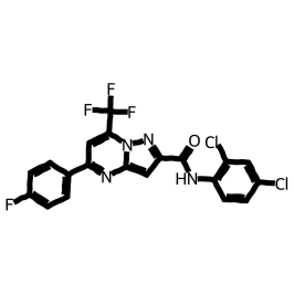 O=C(Nc1ccc(Cl)cc1Cl)c1cc2nc(-c3ccc(F)cc3)cc(C(F)(F)F)n2n1